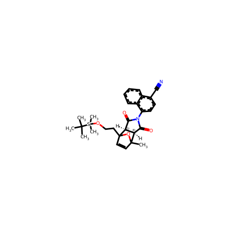 CC12C=CC(CCO[Si](C)(C)C(C)(C)C)(O1)[C@H]1C(=O)N(c3ccc(C#N)c4ccccc34)C(=O)[C@H]12